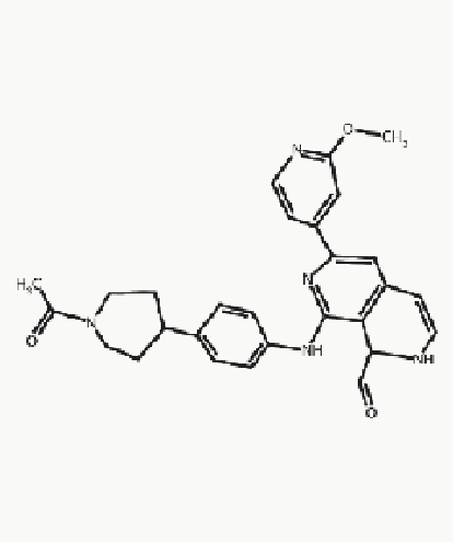 COc1cc(-c2cc3c(c(Nc4ccc(C5CCN(C(C)=O)CC5)cc4)n2)C(C=O)NC=C3)ccn1